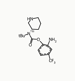 CC(C)(C)N(C(=O)Oc1ccc(C(F)(F)F)cc1N)[C@H]1CCCNC1